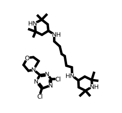 CC1(C)CC(NCCCCCCNC2CC(C)(C)NC(C)(C)C2)CC(C)(C)N1.Clc1nc(Cl)nc(N2CCOCC2)n1